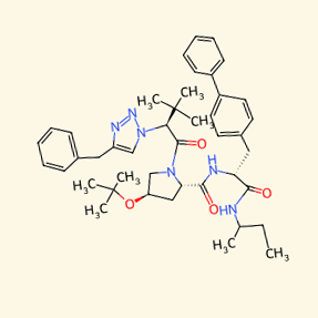 CCC(C)NC(=O)[C@@H](Cc1ccc(-c2ccccc2)cc1)NC(=O)[C@@H]1C[C@@H](OC(C)(C)C)CN1C(=O)[C@@H](n1cc(Cc2ccccc2)nn1)C(C)(C)C